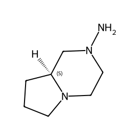 NN1CCN2CCC[C@H]2C1